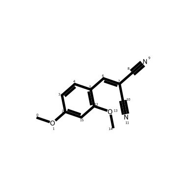 COc1ccc(C=C(C#N)C#N)c(OC)c1